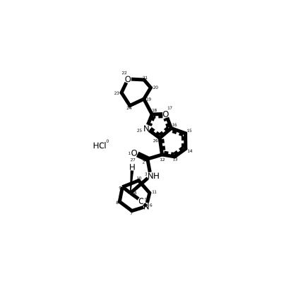 Cl.O=C(N[C@@H]1CN2CCC1CC2)c1cccc2oc(C3CCOCC3)nc12